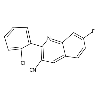 [C-]#[N+]c1cc2ccc(F)cc2nc1-c1ccccc1Cl